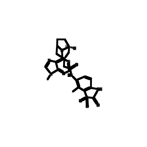 Cc1c(NC(=O)CN2CC3CC[C@@H](C2)N3c2ncnc3c2ncn3C)ccc2c1S(=O)(=O)C(=O)N2